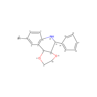 CC(C)c1ccc2c(c1)C1OCCOC1C(c1ccccc1)N2